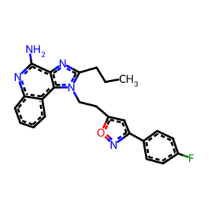 CCCc1nc2c(N)nc3ccccc3c2n1CCc1cc(-c2ccc(F)cc2)no1